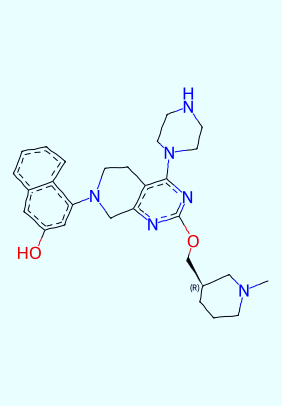 CN1CCC[C@@H](COc2nc3c(c(N4CCNCC4)n2)CCN(c2cc(O)cc4ccccc24)C3)C1